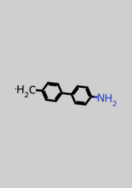 [CH2]c1ccc(-c2ccc(N)cc2)cc1